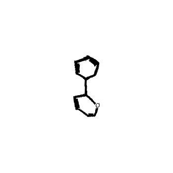 C1=CCC(C2C=CC=CO2)C=C1